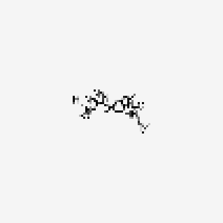 CON=Cc1c(N)ncnc1Oc1ccc2c(c1)cc(C)n2C(=O)NCCN(C)C